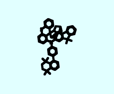 CC1(C)CCC(C)(C)c2c(-c3ccc(N(c4ccc5c(c4)C(C)(C)c4ccccc4-5)c4cccc5c4C4(c6ccccc6S5)C5CC6CC(C5)C4C6)cc3)cccc21